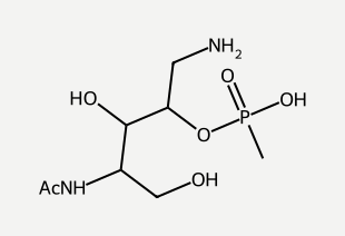 CC(=O)NC(CO)C(O)C(CN)OP(C)(=O)O